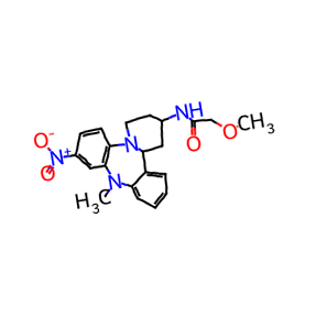 COCC(=O)NC1CCN2c3ccc([N+](=O)[O-])cc3N(C)c3ccccc3C2C1